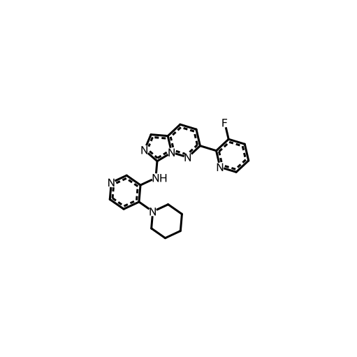 Fc1cccnc1-c1ccc2cnc(Nc3cnccc3N3CCCCC3)n2n1